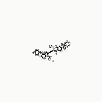 COc1cc(S(=O)(=O)N2CCOCC2)ccc1NCC#Cc1cc2c(NC3CCN(C)CC3)cccc2n1CC(F)(F)F